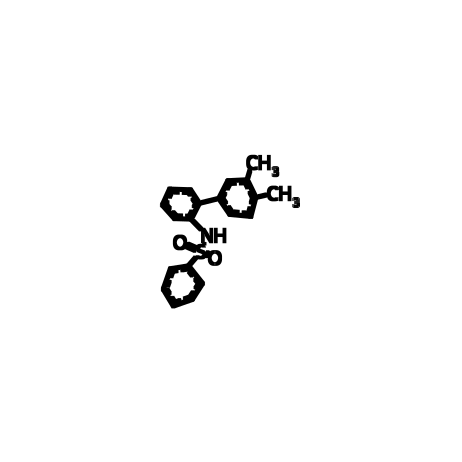 Cc1ccc(-c2ccccc2NS(=O)(=O)c2ccccc2)cc1C